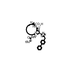 CC(C)(C)OC(=O)N[C@H]1CCCCC/C=C\[C@@H]2C[C@@]2(C(=O)O)NC(=O)[C@@H]2C[C@@H](n3nnc(Cc4ccc(-c5ccccc5)cc4)n3)CN2C1=O